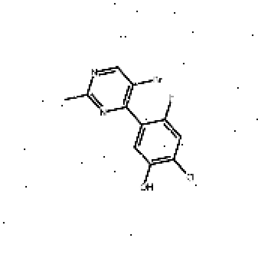 Cc1ncc(Br)c(-c2cc(O)c(Cl)cc2F)n1